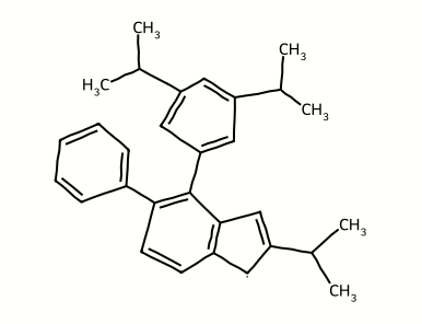 CC(C)C1=Cc2c(ccc(-c3ccccc3)c2-c2cc(C(C)C)cc(C(C)C)c2)[CH]1